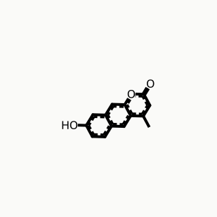 Cc1cc(=O)oc2cc3cc(O)ccc3cc12